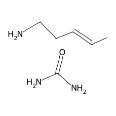 CC=CCCN.NC(N)=O